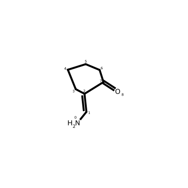 NC=C1CCCCC1=O